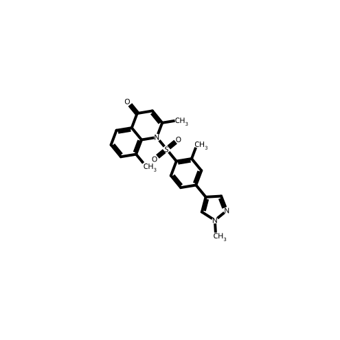 Cc1cc(-c2cnn(C)c2)ccc1S(=O)(=O)n1c(C)cc(=O)c2cccc(C)c21